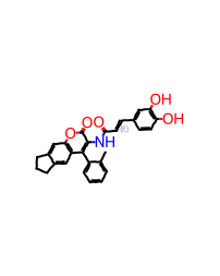 Cc1ccccc1-c1c(NC(=O)/C=C/c2ccc(O)c(O)c2)c(=O)oc2cc3c(cc12)CCC3